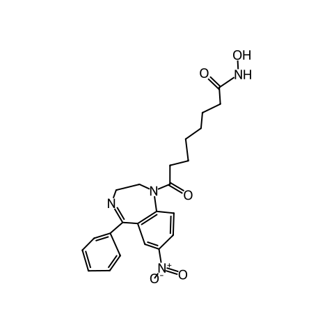 O=C(CCCCCCC(=O)N1CCN=C(c2ccccc2)c2cc([N+](=O)[O-])ccc21)NO